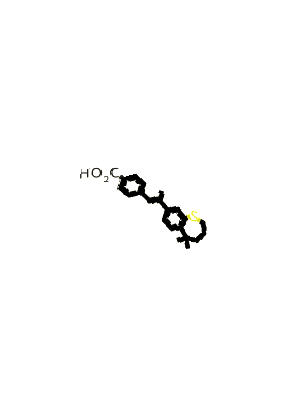 CC(=Cc1ccc(C(=O)O)cc1)c1ccc2c(c1)SCCCC2(C)C